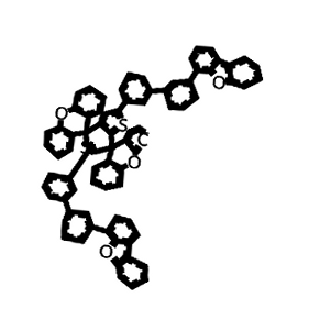 c1cc(-c2cccc(-c3cccc4c3oc3ccccc34)c2)cc(-c2cc3c(s2)C2(c4ccccc4Oc4ccccc42)c2cc(-c4cccc(-c5cccc(-c6cccc7c6oc6ccccc67)c5)c4)sc2C32c3ccccc3Oc3ccccc32)c1